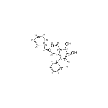 Cc1ccccc1-c1c(C)c(O)c(O)c(C=O)c1COCc1ccccc1